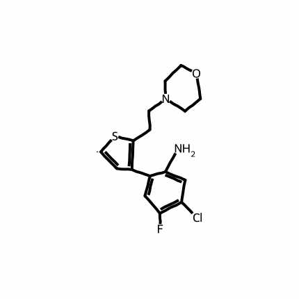 Nc1cc(Cl)c(F)cc1-c1c[c]sc1CCN1CCOCC1